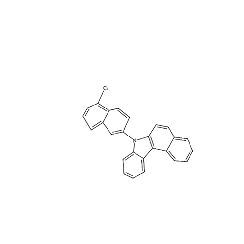 Clc1cccc2cc(-n3c4ccccc4c4c5ccccc5ccc43)ccc12